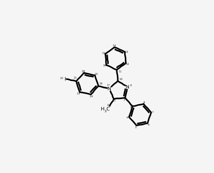 CC1C(c2ccccc2)=NC(c2ccccc2)N1c1ccc(I)cc1